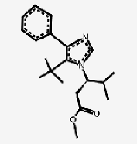 COC(=O)C[C@H](C(C)C)n1cnc(-c2ccccc2)c1C(C)(C)C